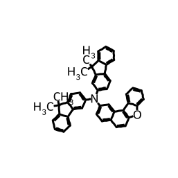 CC1(C)c2ccccc2-c2cc(N(c3ccc4c(c3)C(C)(C)c3ccccc3-4)c3ccc4ccc5oc6ccccc6c5c4c3)ccc21